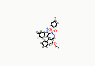 CCOC(=O)C1=CCN(S(=O)(=O)c2ccc(C)cc2)c2[nH]c3cc(C)ccc3c2C1c1ccccc1